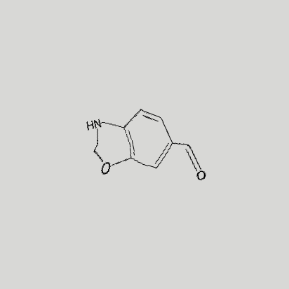 O=Cc1ccc2c(c1)OCN2